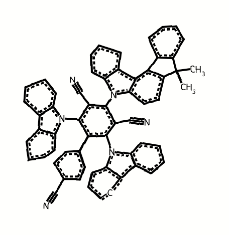 CC1(C)c2ccccc2-c2c1ccc1c2c2ccccc2n1-c1c(C#N)c(-n2c3ccccc3c3ccccc32)c(-c2ccc(C#N)cc2)c(-n2c3ccccc3c3ccccc32)c1C#N